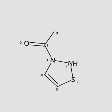 CC(=O)N1C=CSN1